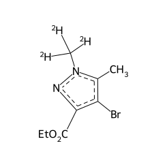 [2H]C([2H])([2H])n1nc(C(=O)OCC)c(Br)c1C